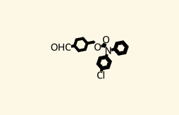 O=CC1CCC(COC(=O)N(c2ccccc2)c2ccc(Cl)cc2)CC1